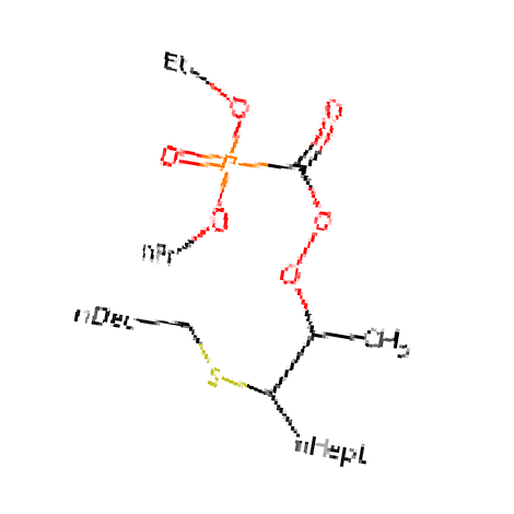 CCCCCCCCCCCSC(CCCCCCC)C(C)OOC(=O)P(=O)(OCC)OCCC